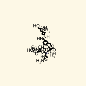 CC1(C)[C@H](NC(=O)/C(=N\O[C@](C)(C(=O)O)[C@H]2CCc3cc(C(=N)NC4CC(N)(C[C@@H](O)CO)C4)ccc3O2)c2csc(N)n2)C(=O)N1OS(=O)(=O)O